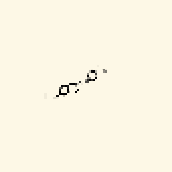 CC(=O)Nc1ccc(OCC(=Cc2ccc(C(=O)O)cc2)C(=O)O)cc1